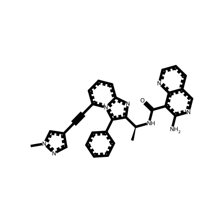 C[C@H](NC(=O)c1c(N)ncc2cccnc12)c1nc2cccc(C#Cc3cnn(C)c3)n2c1-c1ccccc1